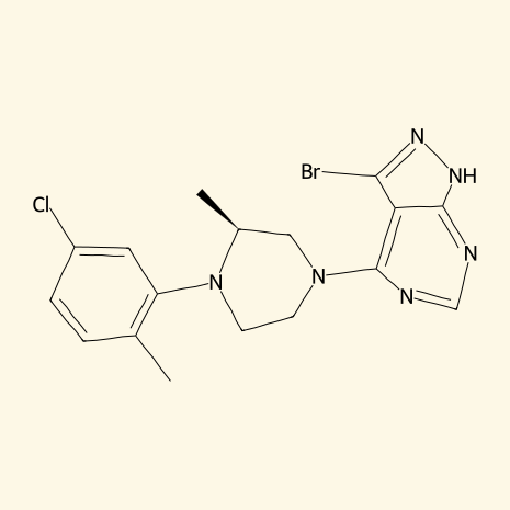 Cc1ccc(Cl)cc1N1CCN(c2ncnc3[nH]nc(Br)c23)C[C@@H]1C